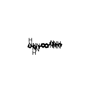 c1cc2cc(-c3cnc4[nH]c(C5CCCN5)nc4n3)ccc2cc1-c1cnc2[nH]c(C3CCCN3)nc2n1